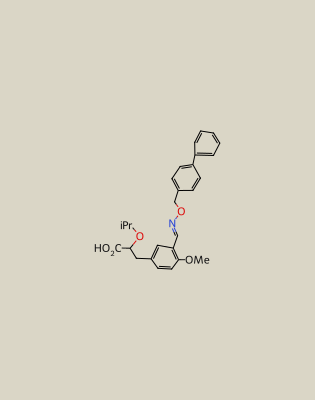 COc1ccc(CC(OC(C)C)C(=O)O)cc1C=NOCc1ccc(-c2ccccc2)cc1